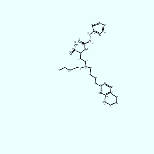 CCOCCN(CCCCc1ccc2c(n1)NCCC2)CC[C@H](NC(=O)OCc1ccccc1)C(=O)O